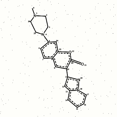 CN1CCN(c2ccc3cc(-c4cc5ccccn5n4)c(=O)oc3c2)CC1